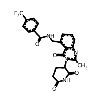 Cc1nc2cccc(CNC(=O)c3ccc(C(F)(F)F)cc3)c2c(=O)n1C1CCC(=O)NC1=O